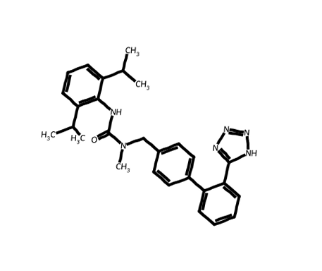 CC(C)c1cccc(C(C)C)c1NC(=O)N(C)Cc1ccc(-c2ccccc2-c2nnn[nH]2)cc1